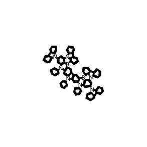 c1ccc(N2c3cc4c(cc3B3c5c2cc(-n2c6ccccc6c6ccccc62)cc5-n2c5ccccc5c5cccc3c52)c2cc3c(cc2n4-c2ccccc2)N(c2ccccc2)c2cc(-n4c5ccccc5c5ccccc54)cc4c2B3c2cccc3c5ccccc5n-4c23)cc1